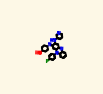 O[C@H]1CC[C@H](/N=c2\cc3n(-c4ccc(F)cc4)c4ccccc4nc-3cc2Nc2cccnc2)CC1